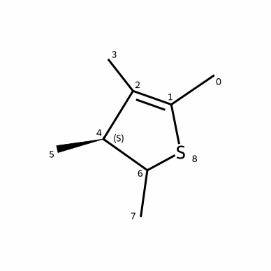 CC1=C(C)[C@H](C)C(C)S1